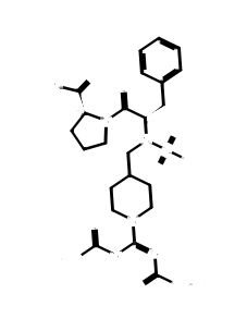 CCCCCC(=O)N=C(NC(=O)CCCCC)N1CCC(CN([C@H](Cc2ccccc2)C(=O)N2CCC[C@H]2C(N)=O)S(C)(=O)=O)CC1